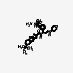 CC(C)(C)[C@H]1CCc2nc3sc(C(=O)N[C@H](CCNC4CCOCC4)c4cccc(NS(C)(=O)=O)c4)cc3cc2C1.N